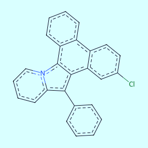 Clc1ccc2c3ccccc3c3c(c(-c4ccccc4)c4ccccn43)c2c1